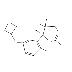 C[C@]1(c2cc(NC3COC3)ccc2F)OC(N)=NCC1(F)F